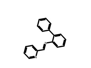 C(=N\c1ccccc1-c1ccccc1)/c1ccccn1